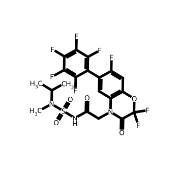 CC(C)N(C)S(=O)(=O)NC(=O)CN1C(=O)C(F)(F)Oc2cc(F)c(-c3c(F)c(F)c(F)c(F)c3F)cc21